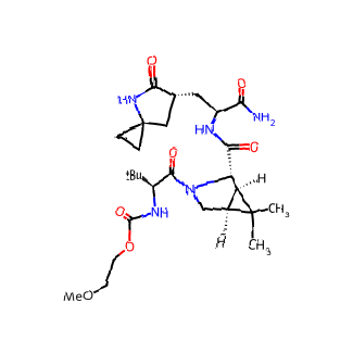 COCCOC(=O)N[C@H](C(=O)N1C[C@H]2[C@@H]([C@H]1C(=O)N[C@@H](C[C@@H]1CC3(CC3)NC1=O)C(N)=O)C2(C)C)C(C)(C)C